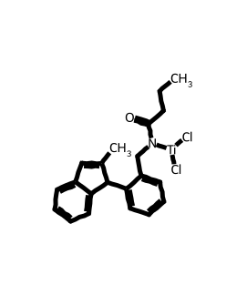 CCCC(=O)[N](Cc1ccccc1C1C(C)=Cc2ccccc21)[Ti]([Cl])[Cl]